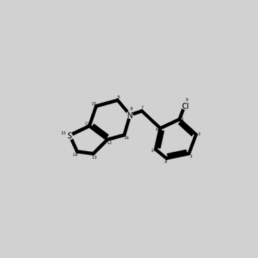 Clc1ccccc1CN1CCC2=C(CCS2)C1